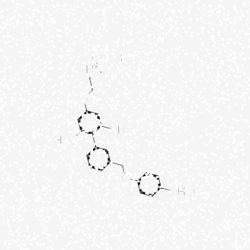 Cc1cc(OCCNC(=O)O)cc(C)c1-c1cccc(COc2ccc(C=O)cc2)c1